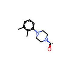 Cc1cccc(N2CCN([C]=O)CC2)c1C